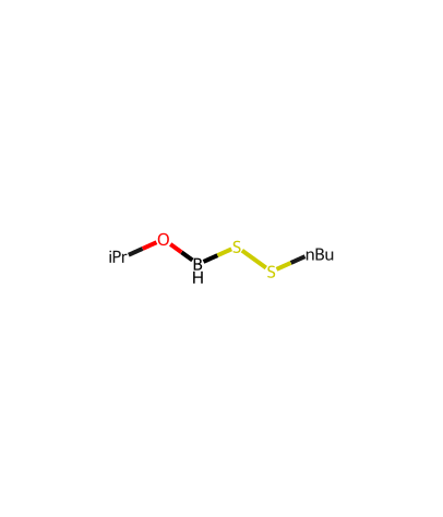 CCCCSSBOC(C)C